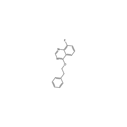 Fc1cccc2c(OCCc3ccccc3)ncnc12